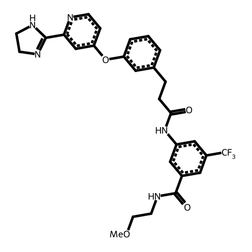 COCCNC(=O)c1cc(NC(=O)CCc2cccc(Oc3ccnc(C4=NCCN4)c3)c2)cc(C(F)(F)F)c1